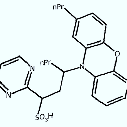 CCCc1ccc2c(c1)N(C(CCC)CC(c1ncccn1)S(=O)(=O)O)c1ccccc1O2